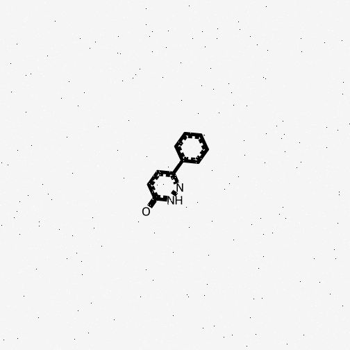 O=c1ccc(-c2cc[c]cc2)n[nH]1